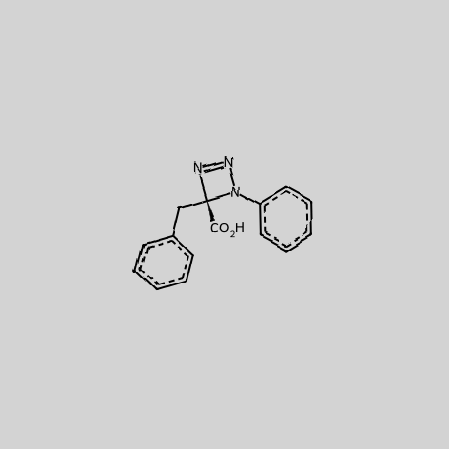 O=C(O)[C@@]1(Cc2ccccc2)N=NN1c1ccccc1